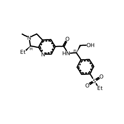 CC[C@@H]1c2ncc(C(=O)N[C@@H](CO)c3ccc(S(=O)(=O)CC)cc3)cc2CN1C